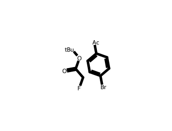 CC(=O)c1ccc(Br)cc1.CC(C)(C)OC(=O)CF